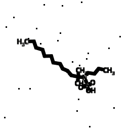 CCCCCCCCCCCC(C)(C)N(CCCC)S(=O)(=O)O